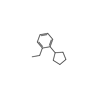 CCc1ccccc1C1CCCC1